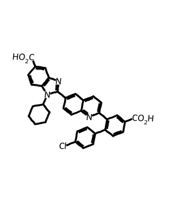 O=C(O)c1ccc(-c2ccc(Cl)cc2)c(-c2ccc3cc(-c4nc5cc(C(=O)O)ccc5n4C4CCCCC4)ccc3n2)c1